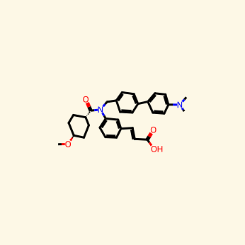 CO[C@H]1CC[C@H](C(=O)N(Cc2ccc(-c3ccc(N(C)C)cc3)cc2)c2cccc(C=CC(=O)O)c2)CC1